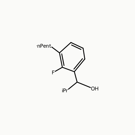 CCCC[CH]c1cccc(C(O)C(C)C)c1F